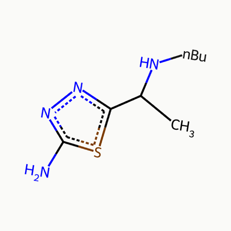 CCCCNC(C)c1nnc(N)s1